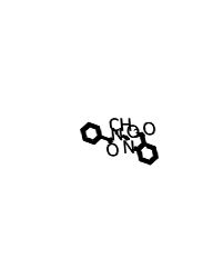 CN(C(=O)c1ccccc1)c1nc2ccccc2c(=O)o1